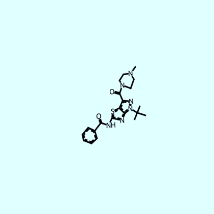 CN1CCN(C(=O)c2nn(C(C)(C)C)c3nc(NC(=O)c4ccccc4)sc23)CC1